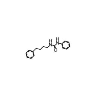 O=C(NCCCCc1ccccc1)Nc1ccccc1